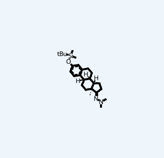 CN(C)/N=C1\CC[C@H]2[C@@H]3CCc4cc(O[Si](C)(C)C(C)(C)C)ccc4[C@H]3CC[C@]12C